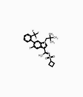 C/C(=N\S(=O)(=O)C1CCC1)c1cn(CC(C)(C)C)c2cc(-c3ccccc3C(F)(F)F)c(F)cc12